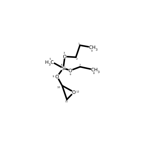 CCCO[Si](C)(OCC)OC1CO1